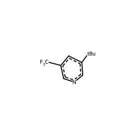 CC(C)(C)c1cncc(C(F)(F)F)c1